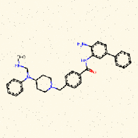 Nc1ccc(-c2ccccc2)cc1NC(=O)c1ccc(CN2CCC(N(CNC=O)c3ccccc3)CC2)cc1